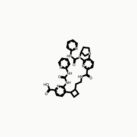 O=C(Nc1ccccn1)Nc1nc(C(=O)O)ccc1C1CCC1CCNC(=O)c1ccc2c(n1)N(C(=O)Nc1ccccn1)C1CCN2C1